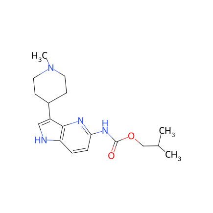 CC(C)COC(=O)Nc1ccc2[nH]cc(C3CCN(C)CC3)c2n1